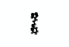 O=PC(CCCOC1CCCCO1)P=O